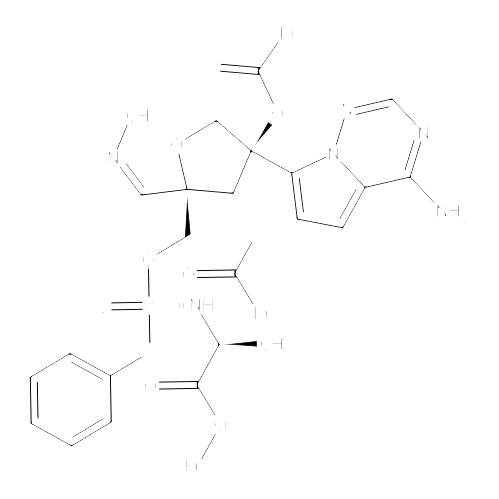 CCC(=O)O[C@@H]1[C@@](/C=N\C)(CO[P@@](=O)(N[C@@H](C)C(=O)OC(C)C)Oc2ccccc2)OC[C@]1(OC(=O)CC)c1ccc2c(N)ncnn12